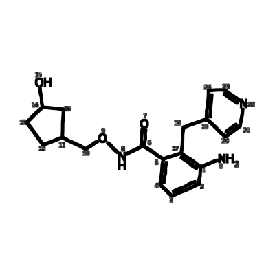 Nc1cccc(C(=O)NOCC2CCC(O)C2)c1Cc1ccncc1